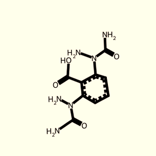 NC(=O)N(N)c1cccc(N(N)C(N)=O)c1C(=O)O